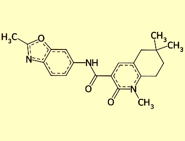 Cc1nc2ccc(NC(=O)c3cc4c(n(C)c3=O)CCC(C)(C)C4)cc2o1